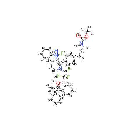 CC(c1cc(F)c([C@@H]2c3[nH]c4ccccc4c3C[C@@H](C)N2CC(F)(F)CO[Si](c2ccccc2)(c2ccccc2)C(C)(C)C)c(F)c1)C1CN(C(=O)OC(C)(C)C)C1